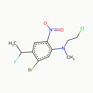 CC(F)c1cc([N+](=O)[O-])c(N(C)CCCl)cc1Br